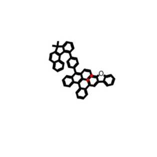 CC1(C)c2cccc(-c3ccc(-c4c5ccccc5c(-c5ccccc5-c5ccc6oc7ccccc7c6c5)c5ccccc45)cc3)c2-c2c1ccc1ccccc21